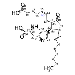 CCCCCCC=CC1CC(=O)[C@H](C/C=C\CCCC(=O)O)[C@@H]1n1cnc(C[C@H](N)C(=O)O)c1